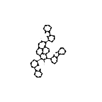 [2H]c1cc2ccc3c(-c4cccc5c4oc4ccccc45)c([2H])c(-c4cccc5c4oc4ccccc45)c4ccc(c1-c1cccc5c1oc1ccccc15)c2c34